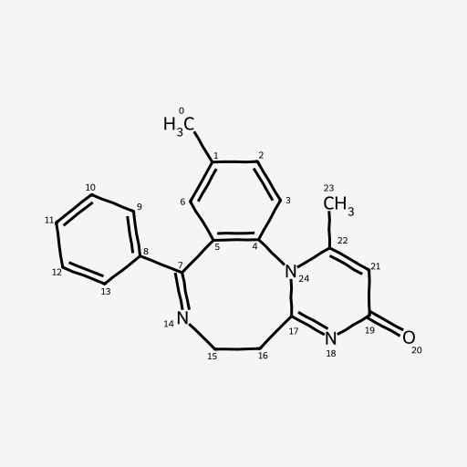 Cc1ccc2c(c1)/C(c1ccccc1)=N\CCc1nc(=O)cc(C)n1-2